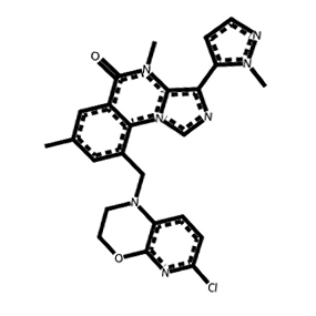 Cc1cc(CN2CCOc3nc(Cl)ccc32)c2c(c1)c(=O)n(C)c1c(-c3ccnn3C)ncn21